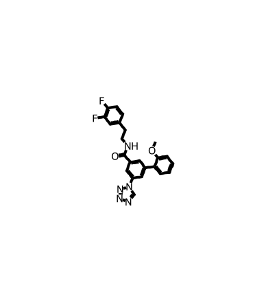 COc1ccccc1-c1cc(C(=O)NCCc2ccc(F)c(F)c2)cc(-n2cnnn2)c1